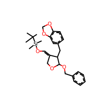 CC(C)(C)[Si](C)(C)OC=C1COC(OCc2ccccc2)C1Cc1ccc2c(c1)OCO2